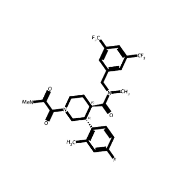 CNC(=O)C(=O)N1CC[C@@H](C(=O)N(C)Cc2cc(C(F)(F)F)cc(C(F)(F)F)c2)[C@H](c2ccc(F)cc2C)C1